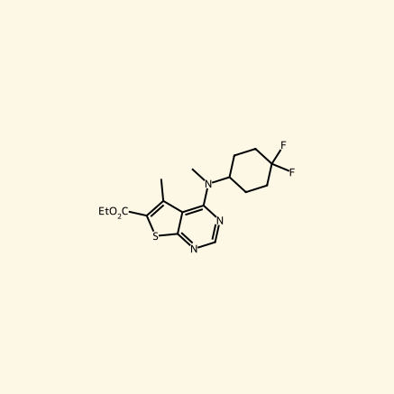 CCOC(=O)c1sc2ncnc(N(C)C3CCC(F)(F)CC3)c2c1C